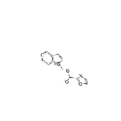 [O]C(OC[SH]1C=Cc2ccccc21)c1ncco1